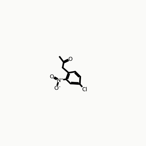 CC(=O)Cc1ccc(Cl)cc1[N+](=O)[O-]